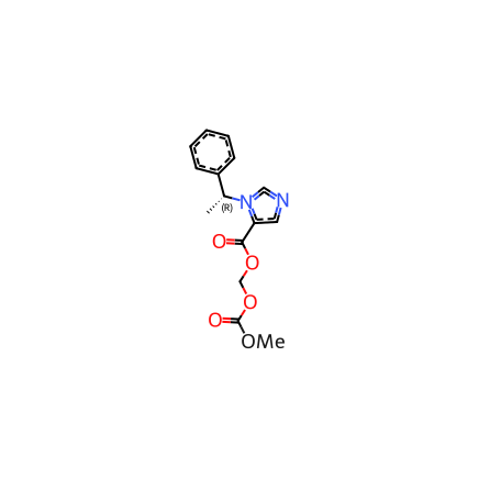 COC(=O)OCOC(=O)c1cncn1[C@H](C)c1ccccc1